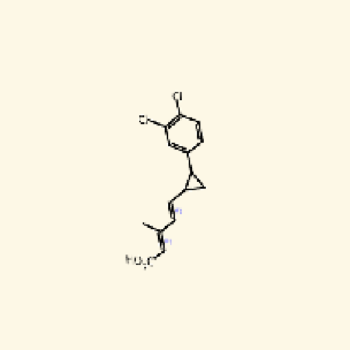 CC(/C=C/C1CC1c1ccc(Cl)c(Cl)c1)=C\C(=O)O